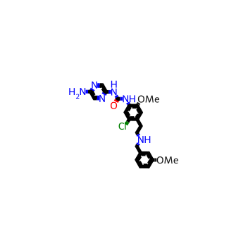 COc1cccc(CNCCc2cc(OC)c(NC(=O)Nc3cnc(N)cn3)cc2Cl)c1